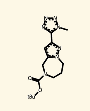 Cn1nnnc1-c1cc2n(n1)CCCN(C(=O)OC(C)(C)C)C2